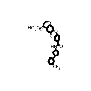 O=C(O)OC1CCOc2cc(Oc3ccc(C(=O)NC4CCC(c5cccc(C(F)(F)F)c5)C4)cc3)c(Cl)cc21